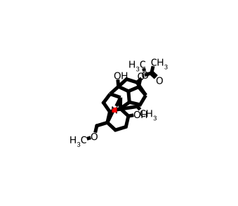 CCN1CC2(COC)CCC(O)C34C5CC6C(OC)CC(O)(C(CC23)C14)C5C6OC(C)=O